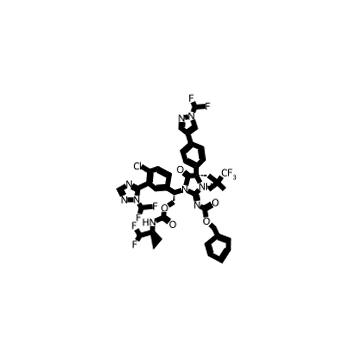 CC(C)(C[C@]1(c2ccc(-c3cnn(C(F)F)c3)cc2)NC(=NC(=O)OCc2ccccc2)N([C@H](COC(=O)NC2(C(F)F)CC2)c2ccc(Cl)c(-c3ncnn3C(F)F)c2)C1=O)C(F)(F)F